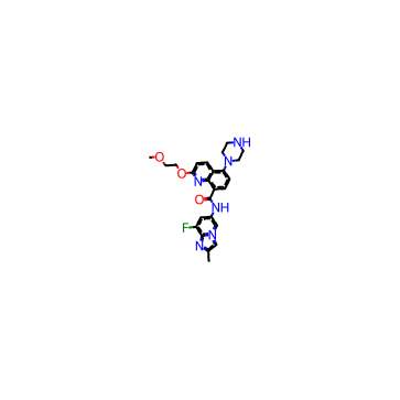 COCCOc1ccc2c(N3CCNCC3)ccc(C(=O)Nc3cc(F)c4nc(C)cn4c3)c2n1